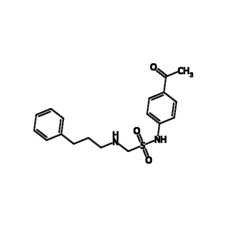 CC(=O)c1ccc(NS(=O)(=O)CNCCCc2ccccc2)cc1